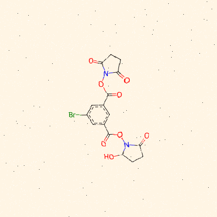 O=C(ON1C(=O)CCC1=O)c1cc(Br)cc(C(=O)ON2C(=O)CCC2O)c1